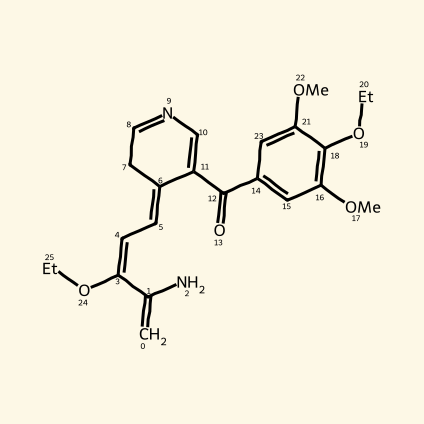 C=C(N)/C(=C\C=C1/CC=NC=C1C(=O)c1cc(OC)c(OCC)c(OC)c1)OCC